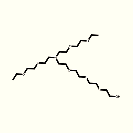 CCOCCOCCN(CCOCCOCC)CCOCCOCCOCCO